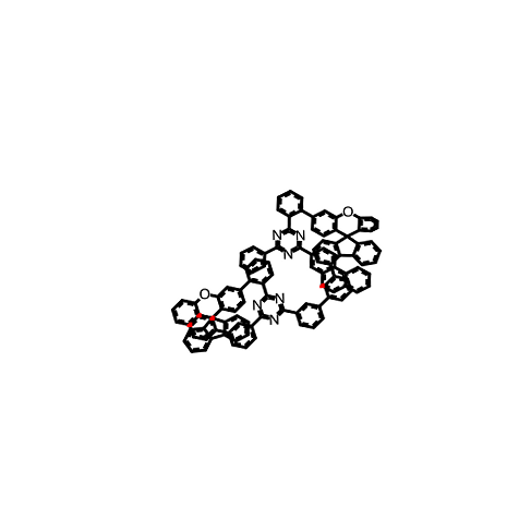 c1ccc(-c2cccc(-c3nc(-c4cccc(-c5cccc(-c6cccc7c6-c6ccccc6C76c7ccccc7Oc7cc(-c8ccccc8-c8nc(-c9ccccc9)nc(-c9ccc%10c(ccc%11ccccc%11%10)c9)n8)ccc76)c5)c4)nc(-c4ccccc4-c4ccc5c(c4)Oc4ccccc4C54c5ccccc5-c5ccccc54)n3)c2)cc1